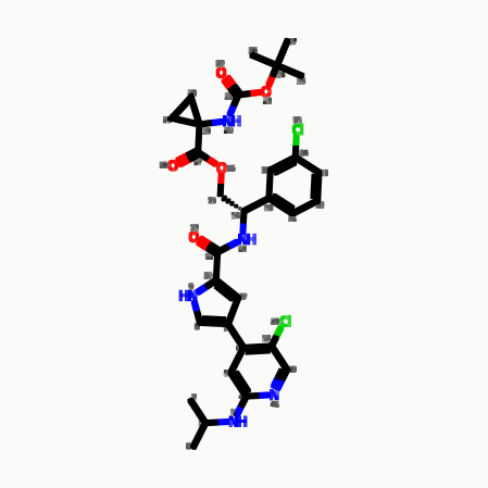 CC(C)Nc1cc(-c2c[nH]c(C(=O)N[C@H](COC(=O)C3(NC(=O)OC(C)(C)C)CC3)c3cccc(Cl)c3)c2)c(Cl)cn1